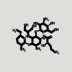 NCC[C@H](O)C(=O)N[C@@H]1C[C@H](N)C(O[C@H]2O[C@H](CN)CCC2N)C(NC(CO)CO)[C@H]1O[C@H]1OC(CO)[C@@H](O)[C@H](N)C1O